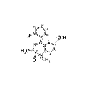 C#Cc1ccc2c(c1)C(c1ccccc1F)=NC(C)C(=O)N2C